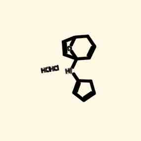 C1=CC[C]([Hf][C]23C=CCC(C=C2)O3)=C1.Cl.Cl